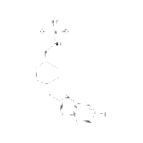 CC(C)S(=O)(=O)NC[C@H]1CC[C@H](Nc2nc3ccc(F)cc3s2)CC1